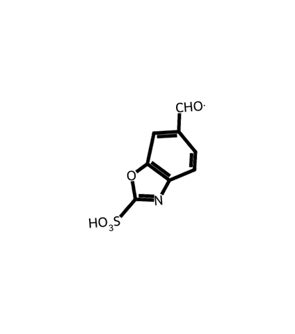 O=[C]c1ccc2nc(S(=O)(=O)O)oc2c1